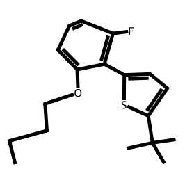 CCCCOc1cccc(F)c1-c1ccc(C(C)(C)C)s1